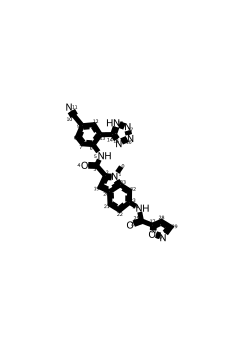 Cn1c(C(=O)Nc2ccc(C#N)cc2-c2nnn[nH]2)cc2ccc(NC(=O)c3ccno3)cc21